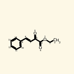 CCOC(=O)C(=O)C=Cc1ccccc1